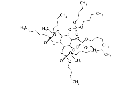 CCCCOP(=O)(OCCCC)O[C@@H]1[C@@H](OCC)[C@H](OP(=O)(OCCCC)OCCCC)[C@@H](OP(=O)(OCCCC)OCCCC)[C@@H](OCC)[C@H]1OP(=O)(OCCCC)OCCCC